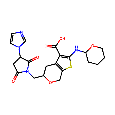 O=C(O)c1c(NC2CCCCO2)sc2c1CC(CN1C(=O)CC(n3ccnc3)C1=O)OC2